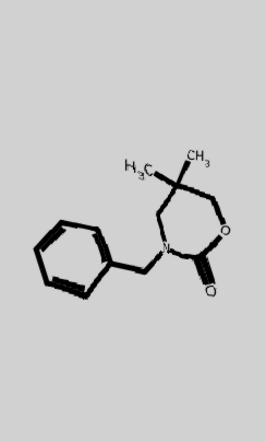 CC1(C)COC(=O)N(Cc2ccccc2)C1